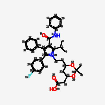 CC(C)c1c(C(=O)Nc2ccccc2)c(-c2ccccc2)c(-c2ccc(F)cc2)n1CCC1C[C@H](CC(=O)O)OC(C)(C)O1